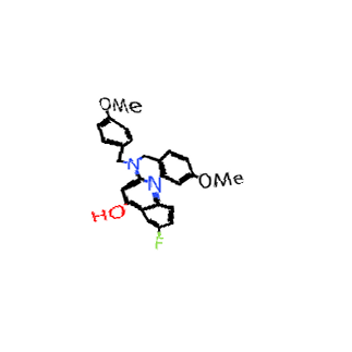 COc1ccc(CN(Cc2ccc(OC)cc2)c2cc(O)c3cc(F)ccc3n2)cc1